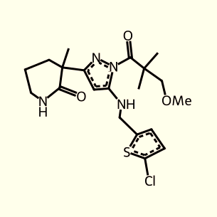 COCC(C)(C)C(=O)n1nc(C2(C)CCCNC2=O)cc1NCc1ccc(Cl)s1